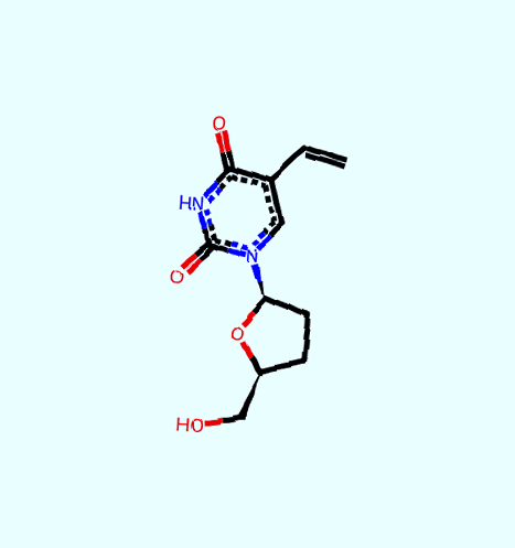 C=Cc1cn([C@H]2CC[C@@H](CO)O2)c(=O)[nH]c1=O